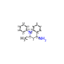 CC1CC(N)c2ccccc2N1c1ccccc1